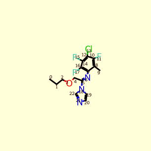 CCCOCC(=Nc1c(C)c(F)c(Cl)c(F)c1F)n1ccnc1